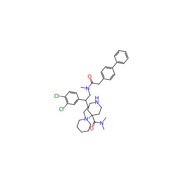 CN(C)C(=O)C1([N+]2(CCC(CN(C)C(=O)Cc3ccc(-c4ccccc4)cc3)c3ccc(Cl)c(Cl)c3)CCCCC2)CCNCC1